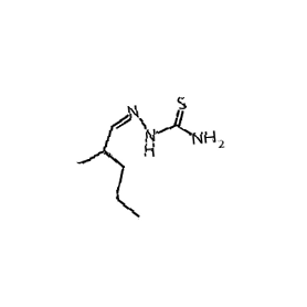 CCCC(C)/C=N\NC(N)=S